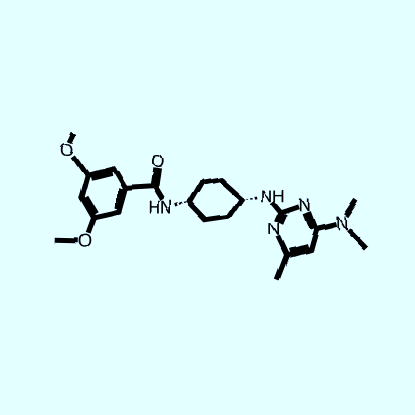 COc1cc(OC)cc(C(=O)N[C@H]2CC[C@@H](Nc3nc(C)cc(N(C)C)n3)CC2)c1